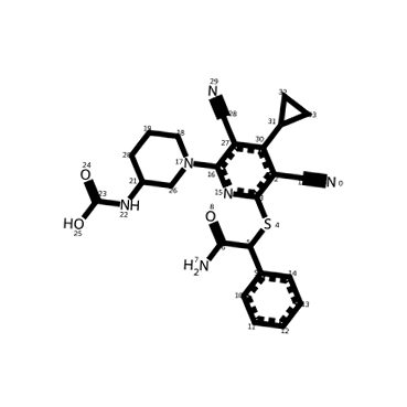 N#Cc1c(SC(C(N)=O)c2ccccc2)nc(N2CCCC(NC(=O)O)C2)c(C#N)c1C1CC1